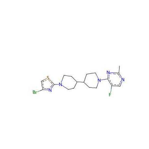 Cc1ncc(F)c(N2CCC(C3CCN(c4nc(Br)cs4)CC3)CC2)n1